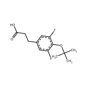 CC(C)(C)Oc1c(F)cc(CCC(=O)O)cc1F